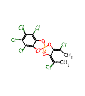 C/C(Cl)=C1/O[PH]2(O/C1=C(/C)Cl)Oc1c(Cl)c(Cl)c(Cl)c(Cl)c1O2